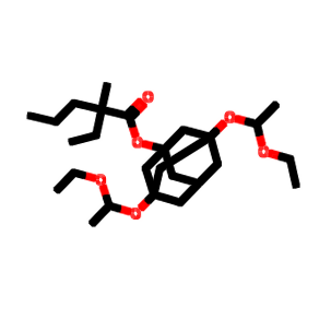 CCCC(C)(CC)C(=O)OC12CC3CC(OC(C)OCC)(C1)CC(OC(C)OCC)(C3)C2